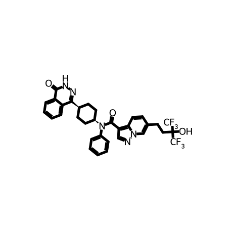 O=C(c1cnn2cc(CCC(O)(C(F)(F)F)C(F)(F)F)ccc12)N(c1ccccc1)[C@H]1CC[C@H](c2n[nH]c(=O)c3ccccc32)CC1